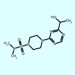 CC(O)c1ncnc(N2CCN(S(=O)(=O)N(C)C)CC2)n1